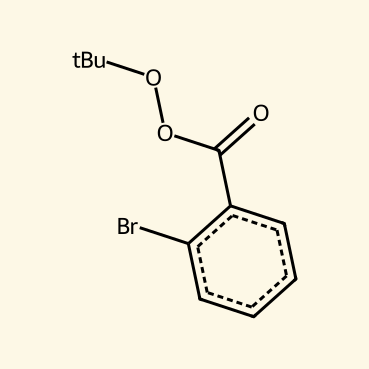 CC(C)(C)OOC(=O)c1ccccc1Br